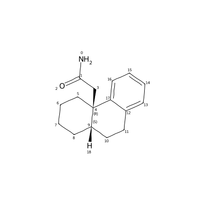 NC(=O)C[C@]12CCCC[C@H]1CCc1ccccc12